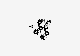 Cc1cccnc1Oc1cccc(C=C2CCN(C(=O)OC(C)(C)C)CC2)c1.Cc1cccnc1Oc1cccc(C=C2CCNCC2)c1.Cl